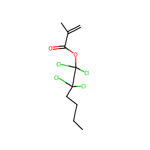 C=C(C)C(=O)OC(Cl)(Cl)C(Cl)(Cl)CCCC